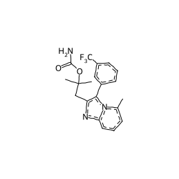 Cc1cccc2nc(CC(C)(C)OC(N)=O)c(-c3cccc(C(F)(F)F)c3)n12